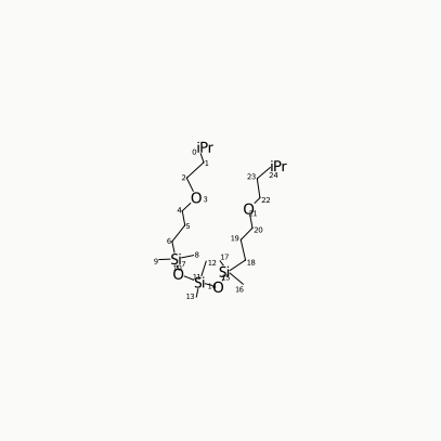 CC(C)CCOCCC[Si](C)(C)O[Si](C)(C)O[Si](C)(C)CCCOCCC(C)C